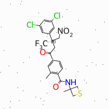 Cc1cc(C(=O)C[C@](C[N+](=O)[O-])(c2cc(Cl)cc(Cl)c2)C(F)(F)F)ccc1C(=O)NC1(C)CSC1